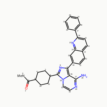 CNC(=O)C1CCC(c2nc(-c3ccc4ccc(-c5ccccc5)nc4c3)c3c(N)nccn23)CC1